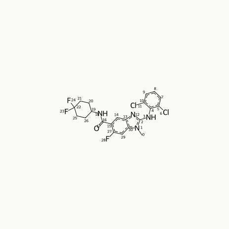 Cn1c(Nc2c(Cl)cccc2Cl)nc2cc(C(=O)NC3CCC(F)(F)CC3)c(F)cc21